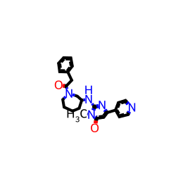 Cn1c(NC2CCCCN(C(=O)Cc3ccccc3)C2)nc(-c2ccncc2)cc1=O